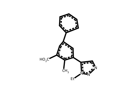 CCn1nncc1-c1cc(-c2ccccc2)cc(C(=O)O)c1C